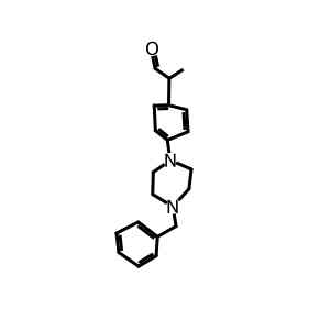 CC(C=O)c1ccc(N2CCN(Cc3ccccc3)CC2)cc1